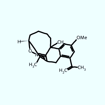 C=C(C)c1cc(OC)cc2c1CC1=C(C)[C@@H]3CCCCC2(C)C1=NO3